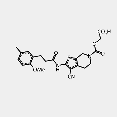 COc1ccc(C)cc1CCC(=O)Nc1sc2c(c1C#N)CCN(C(=O)OCC(=O)O)C2